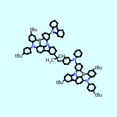 CC(C)(C)c1ccc(N2c3ccc(C(C)(C)C)cc3B3c4ccc(N(c5ccccc5)c5ccc(CC(C)(C)c6ccc7c(c6)c6ccc8c9c6n7-c6cc(-n7c%10ccccc%10c%10ccccc%107)ccc6B9c6cc(C(C)(C)C)ccc6N8c6ccc(C(C)(C)C)cc6)cc5)cc4-n4c5ccc(C(C)(C)C)cc5c5ccc2c3c54)cc1